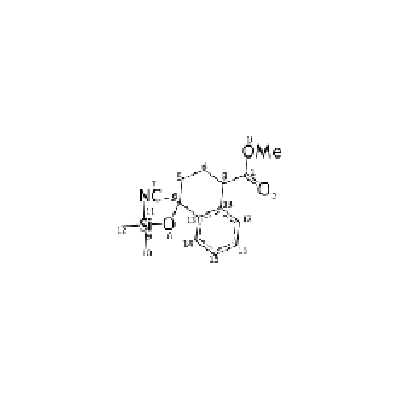 COC(=O)C1CCC(C#N)(O[Si](C)(C)C)c2ccccc21